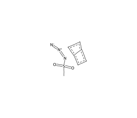 CS(=O)(=O)N=[N+]=[N-].c1cc2ccc1-2